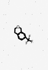 FC(F)(F)c1ccc2c(c1)COCC2